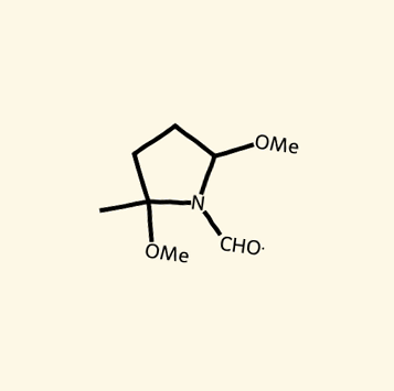 COC1CCC(C)(OC)N1[C]=O